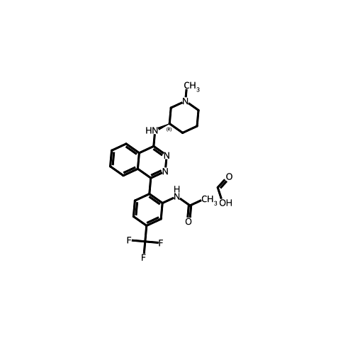 CC(=O)Nc1cc(C(F)(F)F)ccc1-c1nnc(N[C@@H]2CCCN(C)C2)c2ccccc12.O=CO